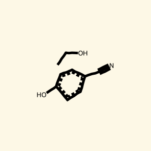 CCO.N#Cc1ccc(O)cc1